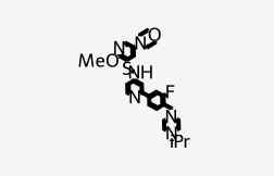 COc1ncc(N2CCOCC2)cc1SNc1ccnc(-c2ccc(CN3CCN(C(C)C)CC3)c(F)c2)c1